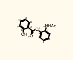 CC(=O)Nc1ccccc1OC(=O)c1ccccc1O